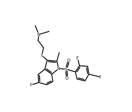 Cc1c(SCCN(C)C)c2cc(F)ccc2n1S(=O)(=O)c1ccc(F)cc1F